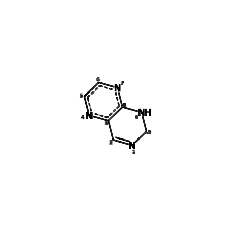 [C]1N=Cc2nccnc2N1